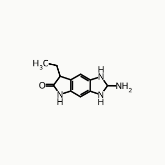 CCC1C(=O)Nc2cc3c(cc21)NC(N)N3